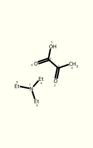 CC(=O)C(=O)O.CCN(CC)CC